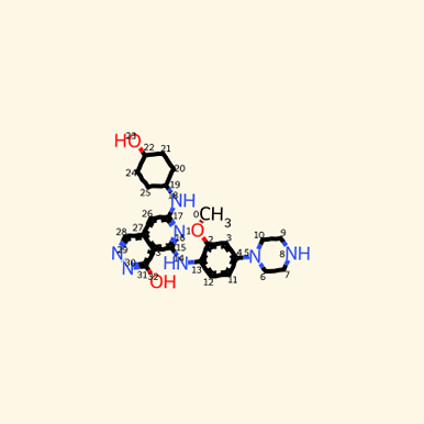 COc1cc(N2CCNCC2)ccc1Nc1nc(NC2CCC(O)CC2)cc2cnnc(O)c12